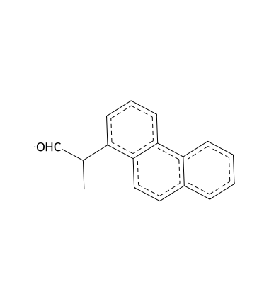 CC([C]=O)c1cccc2c1ccc1ccccc12